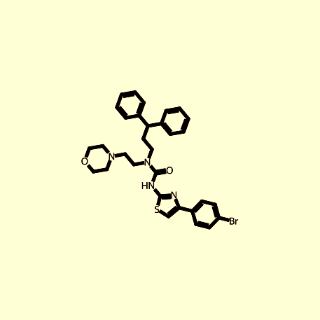 O=C(Nc1nc(-c2ccc(Br)cc2)cs1)N(CCC(c1ccccc1)c1ccccc1)CCN1CCOCC1